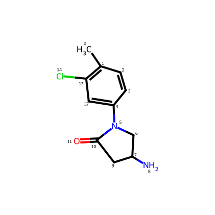 Cc1ccc(N2CC(N)CC2=O)cc1Cl